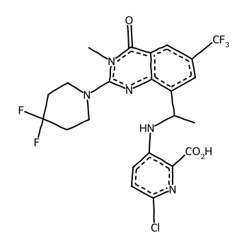 CC(Nc1ccc(Cl)nc1C(=O)O)c1cc(C(F)(F)F)cc2c(=O)n(C)c(N3CCC(F)(F)CC3)nc12